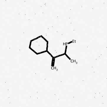 C=C(C1CCCCC1)C(C)PCC